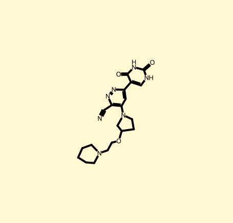 N#Cc1nnc(-c2c[nH]c(=O)[nH]c2=O)cc1N1CCC(OCCN2CCCCC2)C1